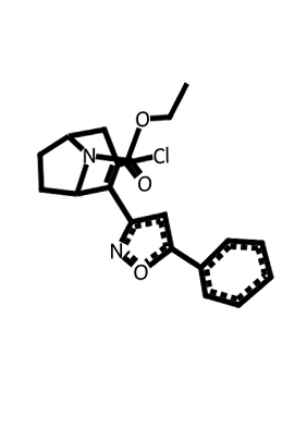 CCOC(=O)N1C2CCC1C(c1cc(-c3ccccc3)on1)=C(Cl)C2